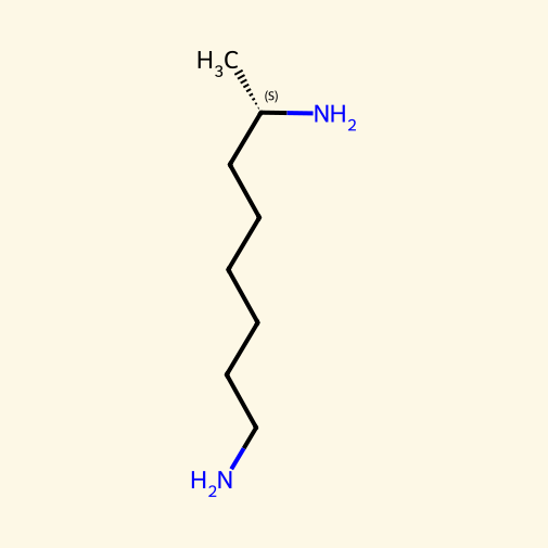 C[C@H](N)CCCCCCN